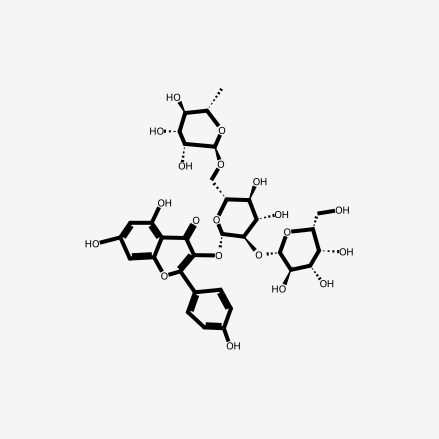 C[C@@H]1O[C@@H](OC[C@H]2O[C@@H](Oc3c(-c4ccc(O)cc4)oc4cc(O)cc(O)c4c3=O)[C@H](O[C@@H]3O[C@H](CO)[C@H](O)[C@H](O)[C@H]3O)[C@@H](O)[C@@H]2O)[C@H](O)[C@H](O)[C@H]1O